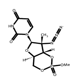 COP1(=O)OC[C@H]2O[C@@H](n3ccc(=O)[nH]c3=O)[C@](C)(N=[N+]=[N-])[C@@H]2O1